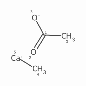 CC(=O)[O-].[CH3][Ca+]